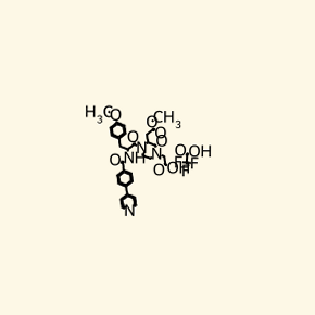 COC(=O)CC1C(=O)N(CC(=O)O)CCN1C(=O)C(Cc1ccc(OC)cc1)NC(=O)c1ccc(-c2ccncc2)cc1.O=C(O)C(F)(F)F